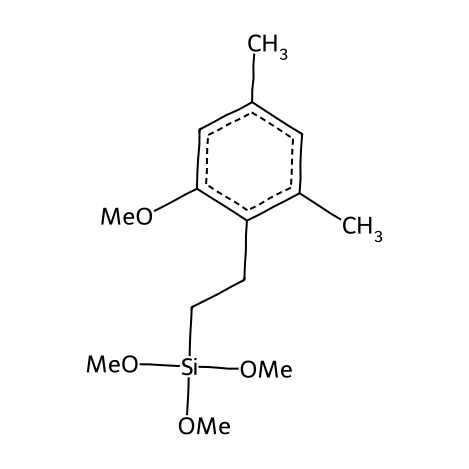 COc1cc(C)cc(C)c1CC[Si](OC)(OC)OC